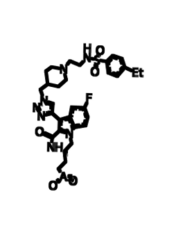 CCc1ccc(S(=O)(=O)NCCN2CCC(Cn3cc(-c4c(C(N)=O)n(CCCC[As](=O)=O)c5ccc(F)cc45)nn3)CC2)cc1